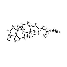 CCCCCCC(=O)O[C@H]1CC[C@@]2(C)C(=CC[C@H]3C4CCC(=O)[C@@]4(C)CC[C@@H]32)C1